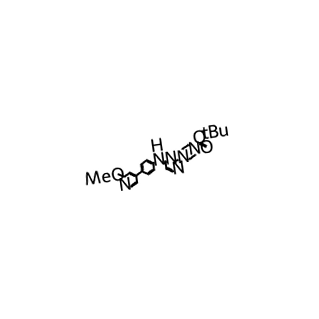 COc1cc(-c2ccc(Nc3ccnc(N4CCN(C(=O)OC(C)(C)C)CC4)n3)cc2)ccn1